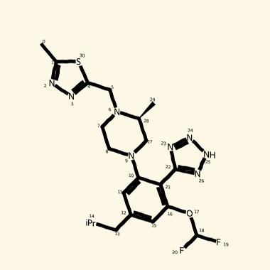 Cc1nnc(CN2CCN(c3cc(CC(C)C)cc(OC(F)F)c3-c3nn[nH]n3)C[C@@H]2C)s1